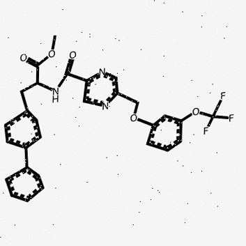 COC(=O)C(Cc1ccc(-c2ccccc2)cc1)NC(=O)c1cnc(COc2cccc(OC(F)(F)F)c2)cn1